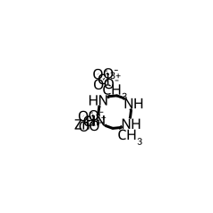 CC1CCNCCNC(C)CCNCCN1.[O-][Cl+3]([O-])([O-])[O-].[O-][Cl+3]([O-])([O-])[O-].[Zn+2]